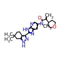 C=C(C(=O)N(C)c1cnc2[nH]c(-c3n[nH]c4c3CCC(C)(C)C4)nc2c1)C1CCOCC1